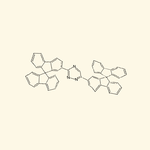 c1ccc2c(c1)-c1ccccc1C21c2ccccc2-c2ccc(-c3cnc(-c4ccc5c(c4)C4(c6ccccc6-c6ccccc64)c4ccccc4-5)nn3)cc21